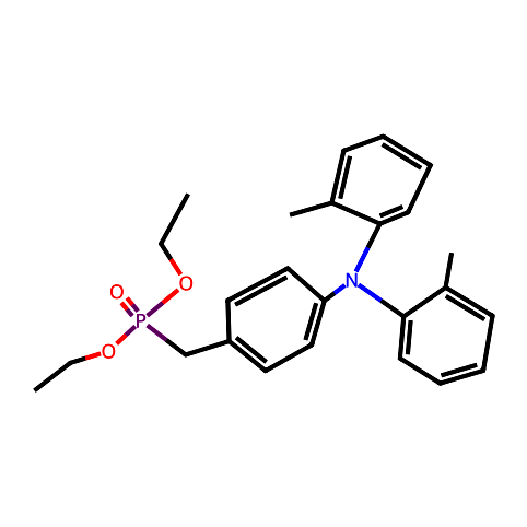 CCOP(=O)(Cc1ccc(N(c2ccccc2C)c2ccccc2C)cc1)OCC